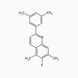 Cc1cc(C)cc(-c2ccc3c(C)c(F)c(C)cc3n2)c1